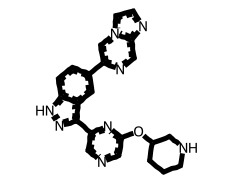 c1cn2cc(-c3ccc4[nH]nc(-c5cncc(OC6CCCNC6)n5)c4c3)ncc2n1